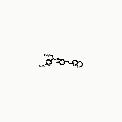 COc1ccc(C(CC(=O)O)n2cc3cc(CCc4ccc5c(n4)NCCC5)ccc3n2)cn1